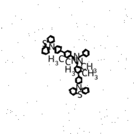 Cc1c(-c2ccc(N3c4ccccc4Sc4ccccc43)cc2)ccc(-c2nc(-c3ccccc3)nc(-c3ccc(-c4ccc(N5c6ccccc6Sc6ccccc65)cc4)c(C)c3C)n2)c1C